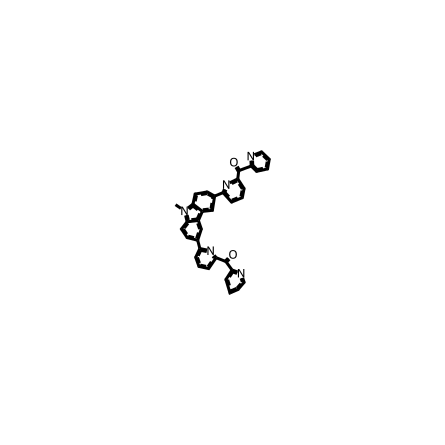 Cn1c2ccc(-c3cccc(C(=O)c4ccccn4)n3)cc2c2cc(-c3cccc(C(=O)c4ccccn4)n3)ccc21